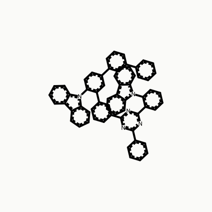 c1ccc(-c2cccc(-c3ccc(-n4c5ccccc5c5ccccc54)c(-c4cccc(-c5nc(-c6ccccc6)nc(-c6ccccc6-n6c7ccccc7c7ccccc76)n5)c4)c3)c2)cc1